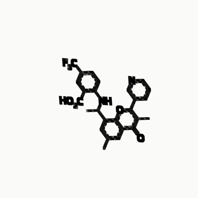 Cc1cc(C(C)Nc2ccc(C(F)(F)F)cc2C(=O)O)c2oc(-c3cccnc3)c(C)c(=O)c2c1